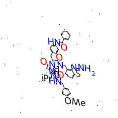 COc1ccc(CNC(=O)N(C(C)C)N2CC(=O)N3[C@@H](Cc4ccc(NC(=O)c5ccccc5)cc4)C(=O)N(Cc4cccc5sc(N)nc45)C[C@@H]32)cc1